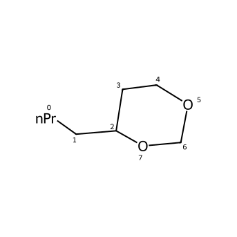 CCCCC1CCOCO1